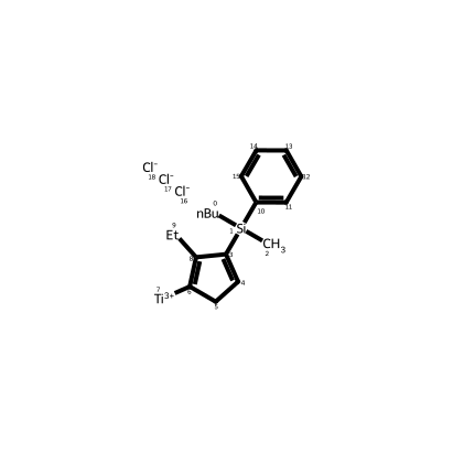 CCCC[Si](C)(C1=CC[C]([Ti+3])=C1CC)c1ccccc1.[Cl-].[Cl-].[Cl-]